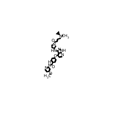 COc1ccnc(NC(=O)c2ccc(Oc3ccnc4[nH]nc(NC5CCN(C(=O)C=CCN(C)C6CC6)C5)c34)cc2)c1